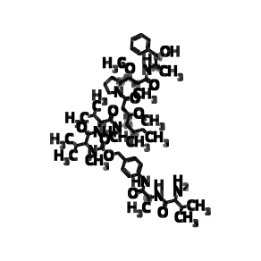 CC[C@H](C)[C@@H]([C@@H](CC(=O)N1CCC[C@H]1[C@H](OC)[C@@H](C)C(=O)N[C@H](C)[C@@H](O)c1ccccc1)OC)N(C)C(=O)[C@@H](NC(=O)C(C(C)C)N(C)C(=O)OCc1ccc(NC(=O)[C@H](C)NC(=O)C(N)C(C)C)cc1)C(C)C